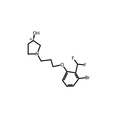 O[C@@H]1CCN(CCCOc2cccc(Br)c2C(F)F)C1